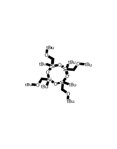 CC(C)(C)OC[Si]1(C(C)(C)C)O[Si](COC(C)(C)C)(C(C)(C)C)O[Si](COC(C)(C)C)(C(C)(C)C)O[Si](COC(C)(C)C)(C(C)(C)C)O1